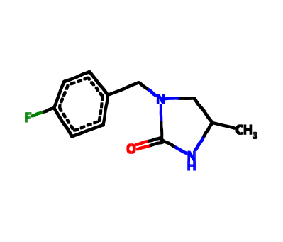 CC1CN(Cc2ccc(F)cc2)C(=O)N1